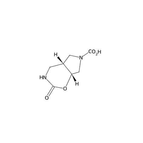 O=C1NC[C@@H]2CN(C(=O)O)C[C@@H]2O1